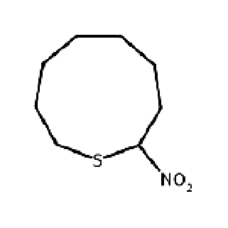 O=[N+]([O-])C1CCCCCCCS1